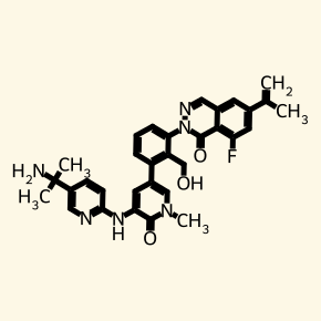 C=C(C)c1cc(F)c2c(=O)n(-c3cccc(-c4cc(Nc5ccc(C(C)(C)N)cn5)c(=O)n(C)c4)c3CO)ncc2c1